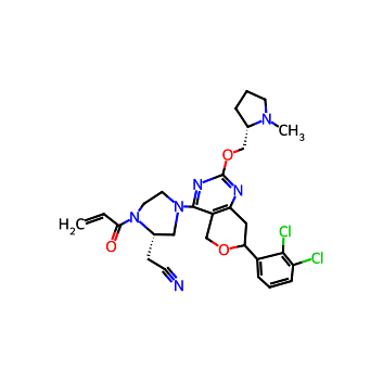 C=CC(=O)N1CCN(c2nc(OC[C@@H]3CCCN3C)nc3c2COC(c2cccc(Cl)c2Cl)C3)C[C@@H]1CC#N